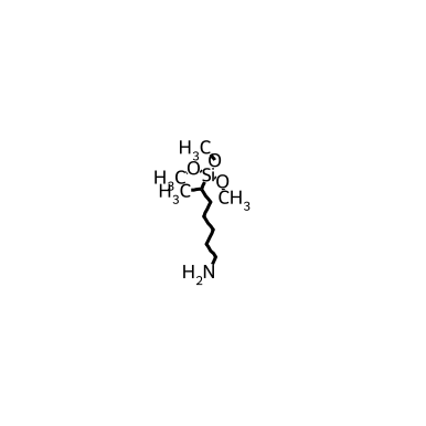 CO[Si](OC)(OC)C(C)CCCCCN